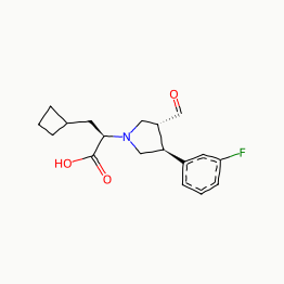 O=C[C@H]1CN([C@H](CC2CCC2)C(=O)O)C[C@@H]1c1cccc(F)c1